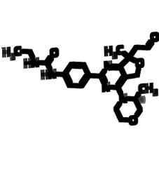 CCNC(=O)Nc1ccc(-c2nc(N3CCOC[C@@H]3C)c3c(n2)C(C)(CC=O)OC3)cc1